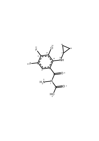 NN(C(=O)O)C(=O)c1cc(F)c(F)c(Cl)c1NC1CC1